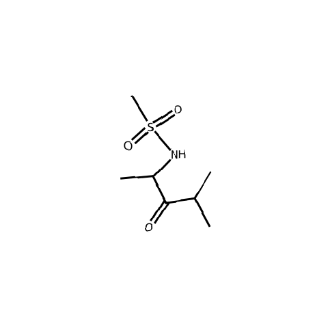 CC(C)C(=O)C(C)NS(C)(=O)=O